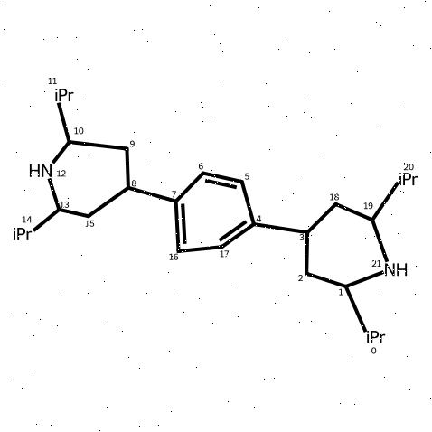 CC(C)C1CC(c2ccc(C3CC(C(C)C)NC(C(C)C)C3)cc2)CC(C(C)C)N1